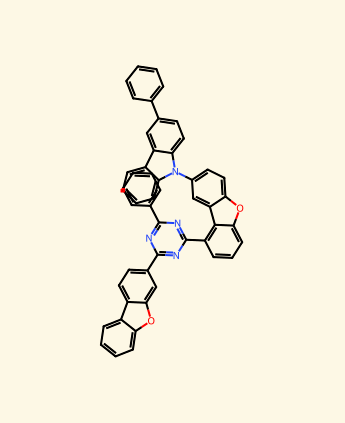 c1ccc(-c2ccc3c(c2)c2ccccc2n3-c2ccc3oc4cccc(-c5nc(-c6ccccc6)nc(-c6ccc7c(c6)oc6ccccc67)n5)c4c3c2)cc1